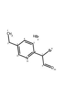 Br.CCc1ccc(C(Br)C=O)nc1